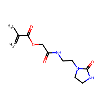 C=C(C)C(=O)OCC(=O)NCCN1CCNC1=O